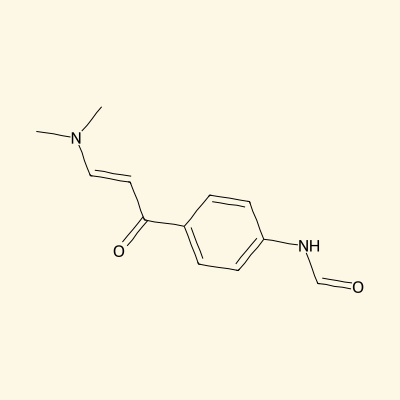 CN(C)C=CC(=O)c1ccc(NC=O)cc1